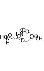 COc1cc2cc(c1)COc1cccnc1NC(=O)C(CCCCCC(=O)NO)OCCC2